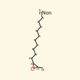 CCCCCCCCCCCCCCCCCCCC1OC1C